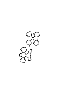 c1ccc2c(c1)Oc1ccccc1C21c2ccccc2-c2ccc(-c3ccc4c(c3)C3(c5ccccc5-c5ccccc53)c3ccccc3-4)cc21